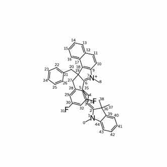 CN1/C(=C/C=C/C2=[N+](C)c3ccc4ccccc4c3C2(Cc2ccccc2)Cc2cc(F)cc(F)c2)C(C)(C)c2ccccc21